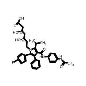 CC(=O)Nc1ccc(NC(=O)c2c(-c3ccccc3)c(-c3ccc(F)cc3)n(CC[C@@H](O)C[C@@H](O)CC(=O)O)c2C(C)C)cc1